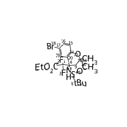 CCOC(=O)C(F)(F)[C@@]1(N[S+]([O-])C(C)(C)C)CC(C)(C)Oc2ccc(Br)cc21